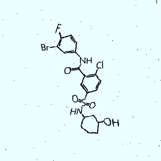 O=C(Nc1ccc(F)c(Br)c1)c1cc(S(=O)(=O)NC2CCCC(O)C2)ccc1Cl